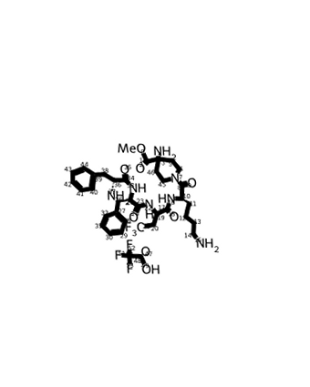 COC(=O)C1(N)CCN(C(=O)[C@@H](CCCCN)NC(=O)C(CC(F)(F)F)NC(=O)[C@@H](Cc2ccccc2)NC(=O)[C@H](N)Cc2ccccc2)CC1.O=C(O)C(F)(F)F